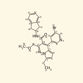 CCc1ccc2c(-c3cncc(Br)c3)c(C(=O)NC3Cc4ccccc4C3)c(COC)nn12